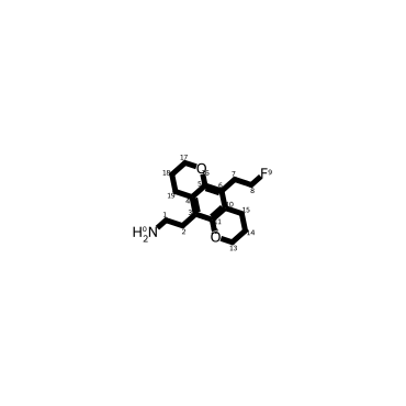 NCCc1c2c(c(CCF)c3c1OCCC3)OCCC2